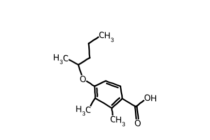 CCCC(C)Oc1ccc(C(=O)O)c(C)c1C